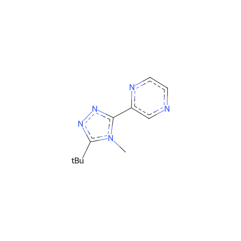 Cn1c(-c2cnccn2)nnc1C(C)(C)C